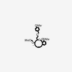 COCOC1CC(CCOCc2ccc(OC)cc2)OC(=O)c2c(cccc2OC)C/C=C\C[C@@H]1C